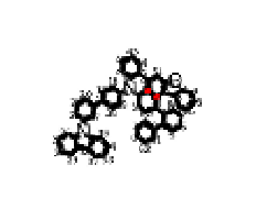 c1ccc(-c2ccccc2-c2ccc(N(c3ccc(-c4cccc(-n5c6ccccc6c6ccccc65)c4)cc3)c3ccccc3-c3ccc4c(c3)oc3ccccc34)cc2)cc1